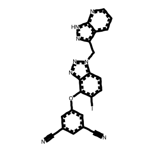 N#Cc1cc(C#N)cc(Oc2c(I)ccc3c2nnn3Cc2n[nH]c3ncccc23)c1